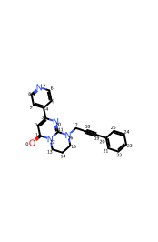 O=c1cc(-c2ccncc2)nc2n1CCCN2CC#Cc1ccccc1